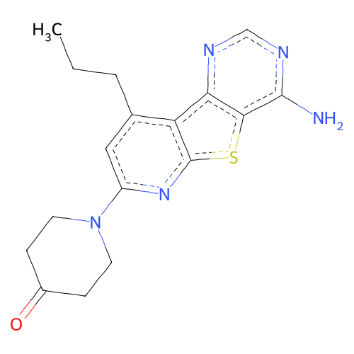 CCCc1cc(N2CCC(=O)CC2)nc2sc3c(N)ncnc3c12